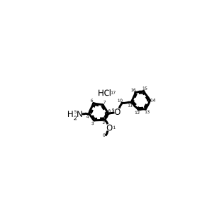 COc1cc(N)ccc1OCc1ccccc1.Cl